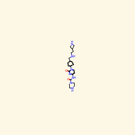 O=C(Nc1ccn(-c2ccc(CNCCC3CNC3)cc2)c(=O)n1)N1CCNCC1